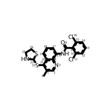 Cc1cnc2c(NC(=O)c3c(Cl)cccc3Cl)cccc2c1SC1NCCS1